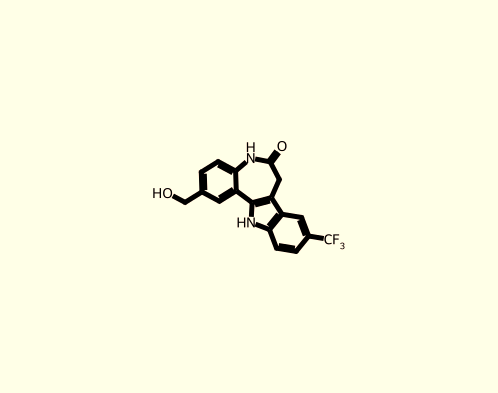 O=C1Cc2c([nH]c3ccc(C(F)(F)F)cc23)-c2cc(CO)ccc2N1